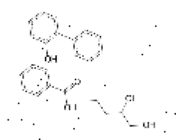 CCCC(O)CO.O=C(O)c1ccccc1.Oc1ccccc1-c1ccccc1